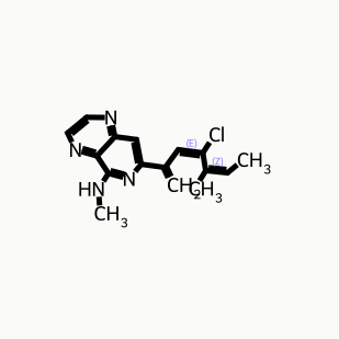 C=C(/C=C(Cl)\C(C)=C/C)c1cc2nccnc2c(NC)n1